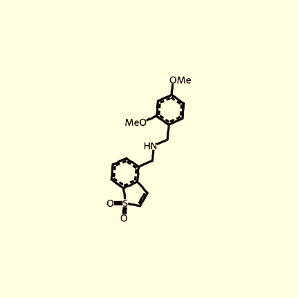 COc1ccc(CNCc2cccc3c2C=CS3(=O)=O)c(OC)c1